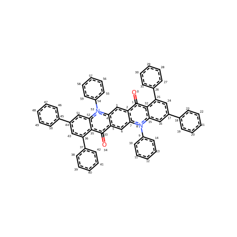 O=c1c2cc3c(cc2n(-c2ccccc2)c2cc(-c4ccccc4)cc(-c4ccccc4)c12)c(=O)c1c(-c2ccccc2)cc(-c2ccccc2)cc1n3-c1ccccc1